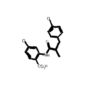 CC(Cc1ccc(Cl)cc1)C(=O)Nc1cc(Cl)ccc1C(=O)O